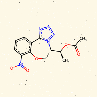 CC(=O)O[C@@H](C)[C@@H]1COc2c(cccc2[N+](=O)[O-])-c2nnnn21